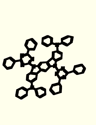 c1ccc(-c2nc(-c3ccccc3)nc(-n3c4ccc(N(c5ccccc5)c5ccccc5)cc4c4cc5c(cc43)c3cc(N(c4ccccc4)c4ccccc4)ccc3n5-c3nc(-c4ccccc4)nc(-c4ccccc4)n3)n2)cc1